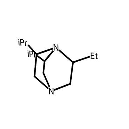 CCC1CN2CC(C(C)C)N1C(C(C)C)C2